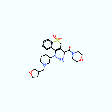 NN(C1=C(C(I)C(=O)N2CCOCC2)CS(=O)(=O)c2ccccc21)C1CCCN(CC2CCOC2)C1